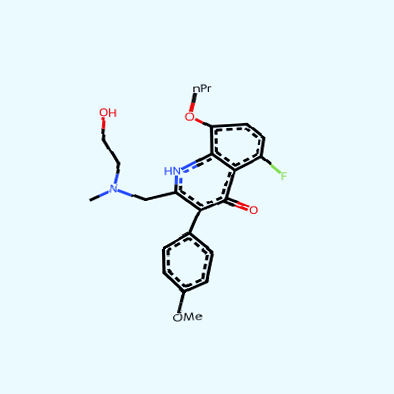 CCCOc1ccc(F)c2c(=O)c(-c3ccc(OC)cc3)c(CN(C)CCO)[nH]c12